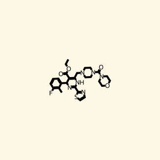 CCOC(=O)C1=C(CN2CCN(C(=O)N3CCOCC3)CC2)NC(c2nccs2)=NC1c1cccc(F)c1C